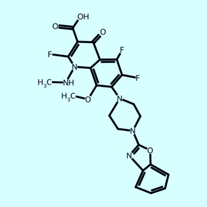 CNn1c(F)c(C(=O)O)c(=O)c2c(F)c(F)c(N3CCN(c4nc5ccccc5o4)CC3)c(OC)c21